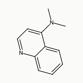 CN(C)c1ccnc2ccccc12